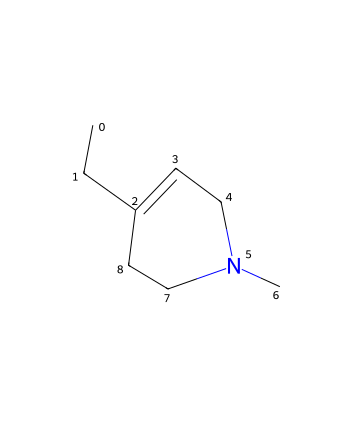 CCC1=CCN(C)CC1